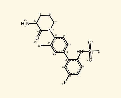 CS(=O)(=O)Nc1ccc(F)cc1-c1ccc(N2CCCC(N)C2=O)c(F)c1